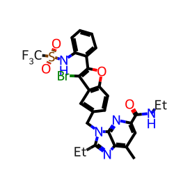 CCNC(=O)c1cc(C)c2nc(CC)n(Cc3ccc4oc(-c5ccccc5NS(=O)(=O)C(F)(F)F)c(Br)c4c3)c2n1